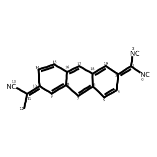 [C-]#[N+]C([N+]#[C-])=c1ccc2cc3c/c(=C(\C)C#N)ccc3cc2c1